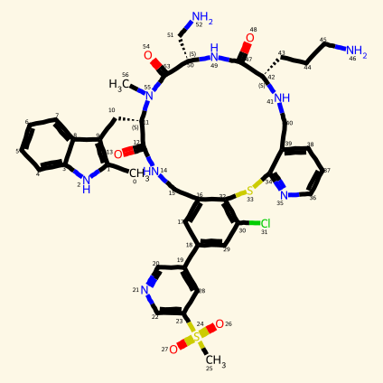 Cc1[nH]c2ccccc2c1C[C@H]1C(=O)NCc2cc(-c3cncc(S(C)(=O)=O)c3)cc(Cl)c2Sc2ncccc2CN[C@@H](CCCN)C(=O)N[C@@H](CN)C(=O)N1C